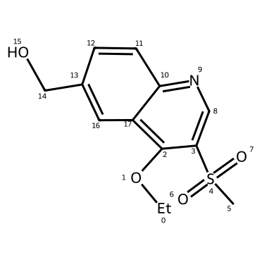 CCOc1c(S(C)(=O)=O)cnc2ccc(CO)cc12